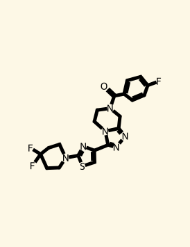 O=C(c1ccc(F)cc1)N1CCn2c(nnc2-c2csc(N3CCC(F)(F)CC3)n2)C1